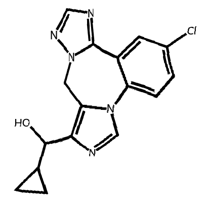 OC(c1ncn2c1Cn1ncnc1-c1cc(Cl)ccc1-2)C1CC1